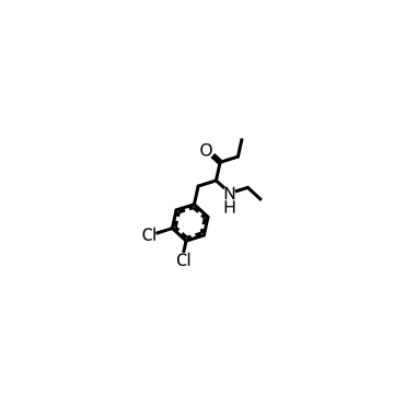 CCNC(Cc1ccc(Cl)c(Cl)c1)C(=O)CC